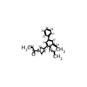 C=C/N=C1/C(C2CCN(C(=O)C=C)C2)=CC(c2ccccc2)=C/C1=C/C